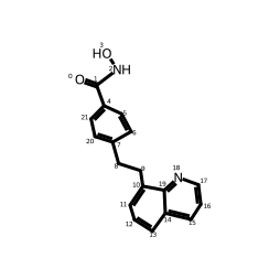 O=C(NO)c1ccc(CCc2cccc3cccnc23)cc1